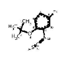 CC(C)(C)Oc1ccc(F)cc1N=C=S